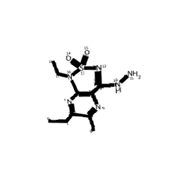 CCc1nc2c(nc1C)C(NN)=NS(=O)(=O)N2CC